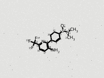 CN(C)[S+]([O-])C1C=CC(c2nc(C(F)(F)F)ccc2N)CC1